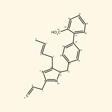 CC=CCc1nc(CC=S)nn1Cc1ccc(-c2ccccc2C(=O)O)cc1